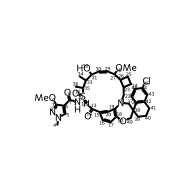 COc1nn(C)cc1C(=O)NS1(=O)=NC(=O)c2ccc3c(c2)N(CC2CCC2C(OC)C=CC(O)C(C)C1C)CC1(CCCc2cc(Cl)ccc21)CO3